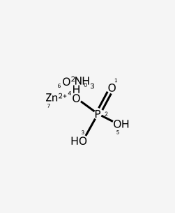 N.O=P(O)(O)O.[O-2].[Zn+2]